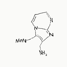 CNc1c(N)nc2ncccn12